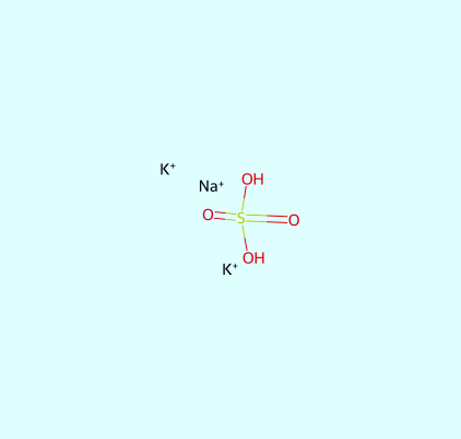 O=S(=O)(O)O.[K+].[K+].[Na+]